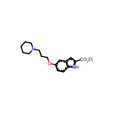 CCOC(=O)c1cc2cc(OCCCN3CCCCC3)ccc2[nH]1